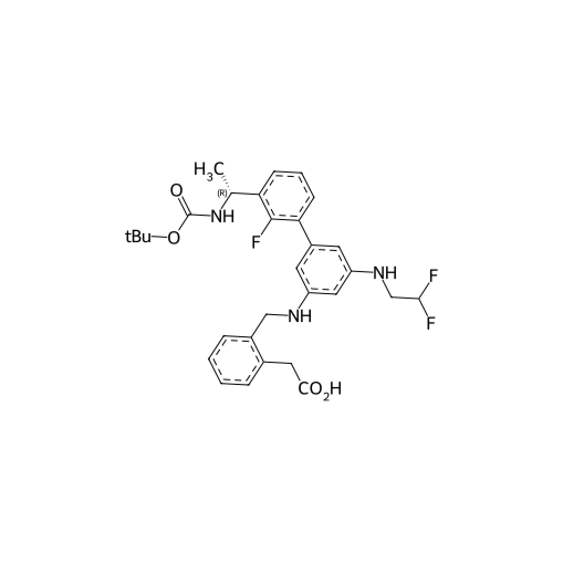 C[C@@H](NC(=O)OC(C)(C)C)c1cccc(-c2cc(NCc3ccccc3CC(=O)O)cc(NCC(F)F)c2)c1F